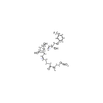 CN(CCO[N+](=O)[O-])C(=O)CCC/C=C\C[C@@H]1[C@@H](/C=C/[C@@H](O)COc2cccc(C(F)(F)F)c2)[C@H](O)C[C@@H]1O